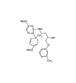 CCCC(CCNc1cc(OC)ccc1C1(C)C=CC(OC)=CC1)COc1cccc(C)c1